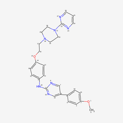 COc1ccc(-c2cnc(Nc3ccc(OCCN4CCN(c5ncccn5)CC4)cc3)nc2)cc1